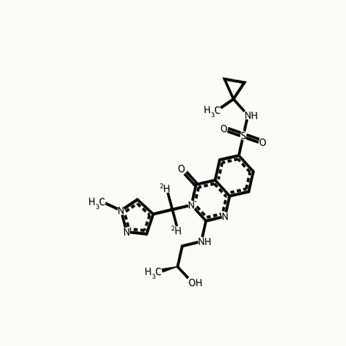 [2H]C([2H])(c1cnn(C)c1)n1c(NC[C@H](C)O)nc2ccc(S(=O)(=O)NC3(C)CC3)cc2c1=O